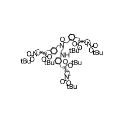 CC(C)(C)OC(=O)[C@@H](Cc1cccc(CC(=O)N(CCNc2cccc(C[C@H](C(=O)OC(C)(C)C)[C@H]3CCN(C(=O)OC(C)(C)C)C3)c2)Cc2cccc(C[C@H](C(=O)OC(C)(C)C)[C@H]3CCN(C(=O)OC(C)(C)C)C3)c2)c1)[C@H]1CCN(C(=O)OC(C)(C)C)C1